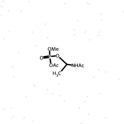 COP(=O)(OC(C)=O)OC(C)NC(C)=O